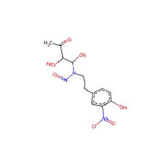 CC(=O)C(O)C(O)N(CCc1ccc(O)c([N+](=O)[O-])c1)N=O